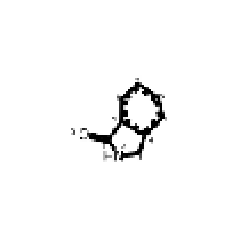 O=C1NCc2c[c]ccc21